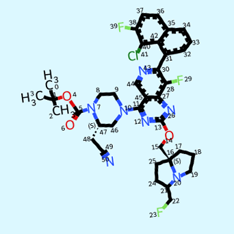 CC(C)(C)OC(=O)N1CCN(c2nc(OC[C@@]34CCCN3C(CF)CC4)nc3c(F)c(-c4cccc5ccc(F)c(Cl)c45)ncc23)C[C@@H]1CC#N